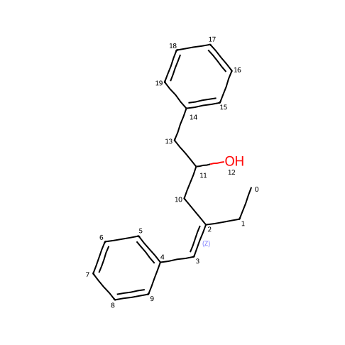 CC/C(=C/c1ccccc1)CC(O)Cc1ccccc1